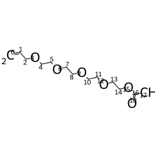 C=CCOCCOCCOCCOCCOC(C)=O